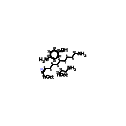 CCCCCCCC/C=C\CCCCCCCCN.CCCCCCCCCCCCN.Nc1ccc(O)cc1